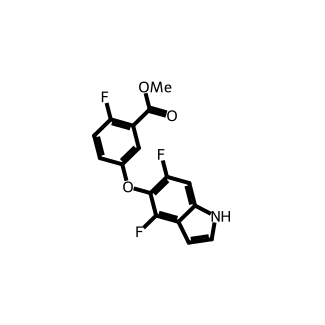 COC(=O)c1cc(Oc2c(F)cc3[nH]ccc3c2F)ccc1F